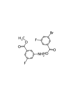 COC(=O)c1cc(N)cc(F)c1.O=C(O)c1cc(F)cc(Br)c1